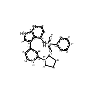 O=S(=O)(Nc1ccnc2[nH]cc(-c3ccnc(N4CCCC4)c3)c12)c1ccccc1